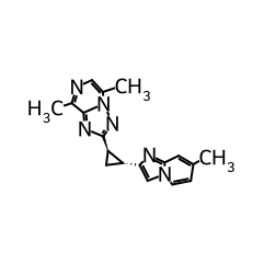 Cc1ccn2cc([C@@H]3C[C@H]3c3nc4c(C)ncc(C)n4n3)nc2c1